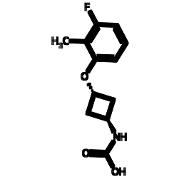 Cc1c(F)cccc1O[C@H]1C[C@H](NC(=O)O)C1